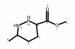 COC(=O)C1CCC(C)NN1